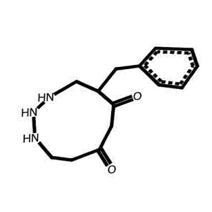 O=C1CCNNNCC(Cc2ccccc2)C(=O)C1